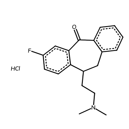 CN(C)CCC1Cc2ccccc2C(=O)c2cc(F)ccc21.Cl